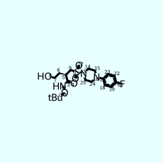 CC(C)(C)ONC(=O)[C@@H](CCO)CS(=O)(=O)N1CCN(c2ccc(F)cc2)CC1